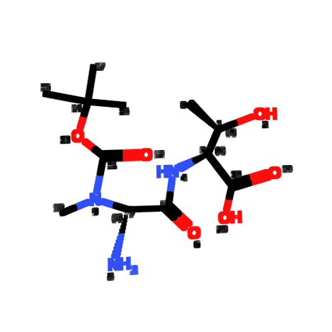 C[C@@H](O)[C@H](NC(=O)[C@H](N)N(C)C(=O)OC(C)(C)C)C(=O)O